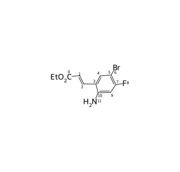 CCOC(=O)C=Cc1cc(Br)c(F)cc1N